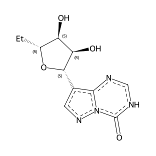 CC[C@H]1O[C@@H](c2cnn3c(=O)[nH]cnc23)[C@H](O)[C@@H]1O